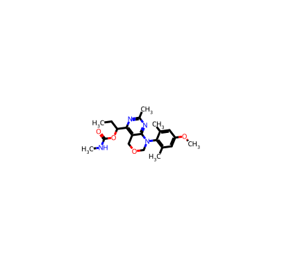 CCC(OC(=O)NC)c1nc(C)nc2c1COCN2c1c(C)cc(OC)cc1C